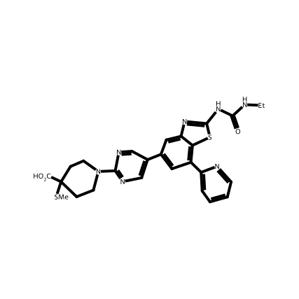 CCNC(=O)Nc1nc2cc(-c3cnc(N4CCC(SC)(C(=O)O)CC4)nc3)cc(-c3ccccn3)c2s1